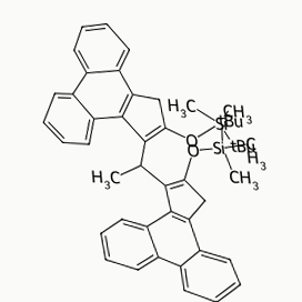 CC(C1=C(O[Si](C)(C)C(C)(C)C)Cc2c1c1ccccc1c1ccccc21)C1=C(O[Si](C)(C)C(C)(C)C)Cc2c1c1ccccc1c1ccccc21